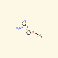 C=CCOc1cccc(COc2cnccc2CN)c1